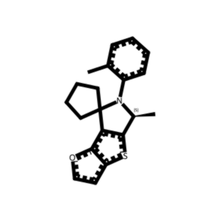 Cc1ccccc1N1[C@@H](C)c2sc3ccoc3c2C12CCCC2